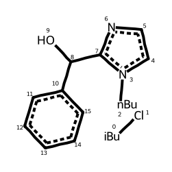 CCC(C)Cl.CCCCn1ccnc1C(O)c1ccccc1